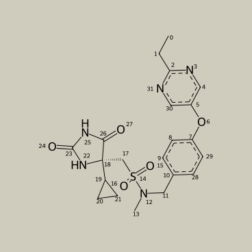 CCc1ncc(Oc2ccc(CN(C)S(=O)(=O)C[C@]3(C4CC4)NC(=O)NC3=O)cc2)cn1